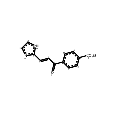 CCOC(=O)c1ccc(C(=O)/C=C/c2ncc[nH]2)cc1